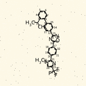 CC(C)c1ccccc1-c1ccc(-c2noc(-c3ccc(-c4nc(C(F)(F)F)cn4C)cc3)n2)cc1